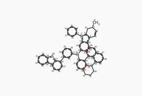 CC1C=Cc2c(n(-c3ccccc3)c3cc(N(c4cccc(-c5cccc6c5sc5ccccc56)c4)c4ccccc4-c4cccc5cccc(C6CCCCC6)c45)ccc23)C1